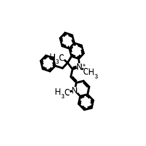 CN1/C(=C/C2=[N+](C)c3ccc4ccccc4c3C2(C)Cc2ccccc2)C=Cc2ccccc21